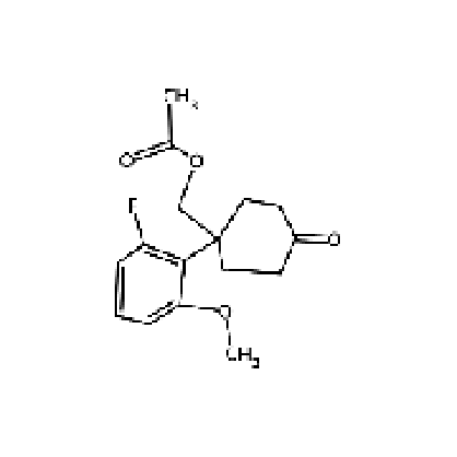 COc1cccc(F)c1C1(COC(C)=O)CCC(=O)CC1